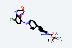 CC(C)(C)OC(=O)NCC#Cc1ccc(NC2=NC=C3CC(=O)CN=C4C(Cl)=CC=CC34N2)cc1